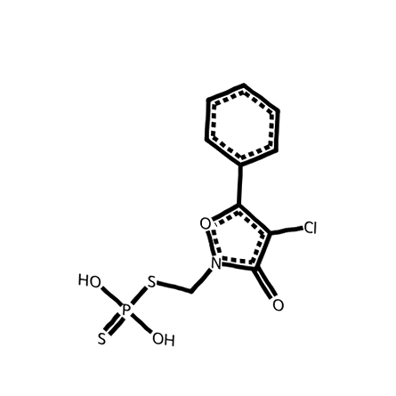 O=c1c(Cl)c(-c2ccccc2)on1CSP(O)(O)=S